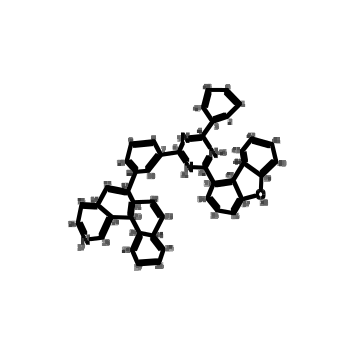 c1ccc(-c2nc(-c3cccc(-c4cc5ccncc5c5c4ccc4ccccc45)c3)nc(-c3cccc4oc5ccccc5c34)n2)cc1